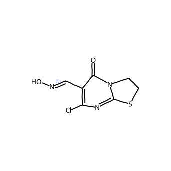 O=c1c(/C=N/O)c(Cl)nc2n1CCS2